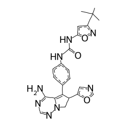 CC(C)(C)c1cc(NC(=O)Nc2ccc(C3=C4C(N)=NC=NN4CC3c3cnco3)cc2)on1